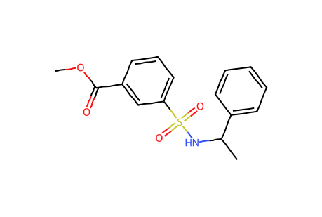 COC(=O)c1cccc(S(=O)(=O)NC(C)c2ccccc2)c1